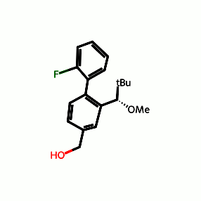 CO[C@H](c1cc(CO)ccc1-c1ccccc1F)C(C)(C)C